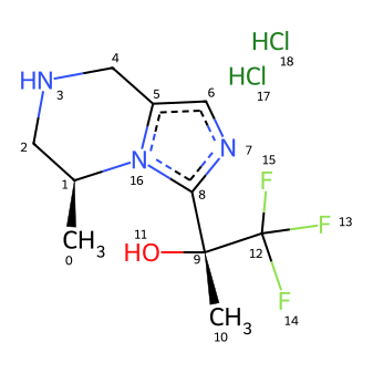 C[C@H]1CNCc2cnc([C@@](C)(O)C(F)(F)F)n21.Cl.Cl